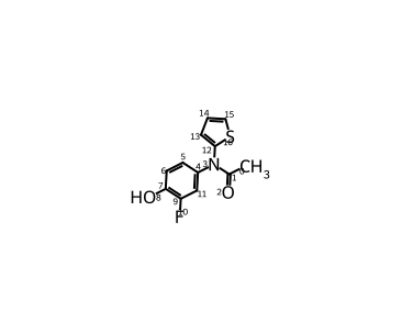 CC(=O)N(c1ccc(O)c(F)c1)c1cccs1